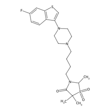 CC1N(CCCCN2CCN(c3csc4cc(F)ccc34)CC2)C(=O)C(C)(C)S1(=O)=O